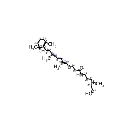 CC1=C(/C=C/C(C)=C/C=C/C(C)=C/OCCC(=O)NCCCN(C)CCO)C(C)(C)CCC1